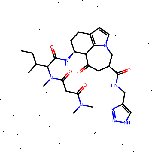 CCC(C)C(C(=O)N[C@H]1CCc2ccn3c2C1C(=O)C[C@H](C(=O)NCc1c[nH]nn1)C3)N(C)C(=O)CC(=O)N(C)C